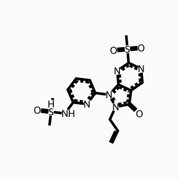 C=CCn1c(=O)c2cnc(S(C)(=O)=O)nc2n1-c1cccc(N[SH](C)(C)=O)n1